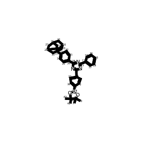 CC1(C)OB(c2ccc(-c3nc(-c4ccccc4)nc(-c4ccc(C56CC7CC(CC(C7)C5)C6)cc4)n3)cc2)OC1(C)C